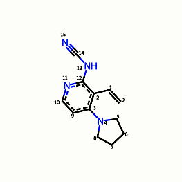 C=Cc1c(N2CCCC2)ccnc1NC#N